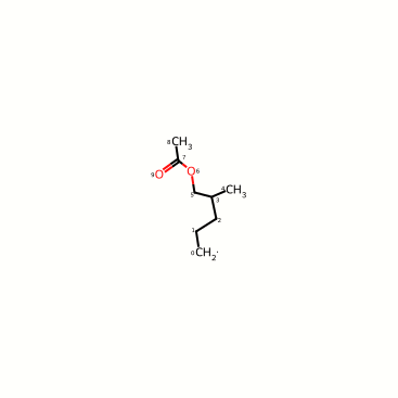 [CH2]CCC(C)COC(C)=O